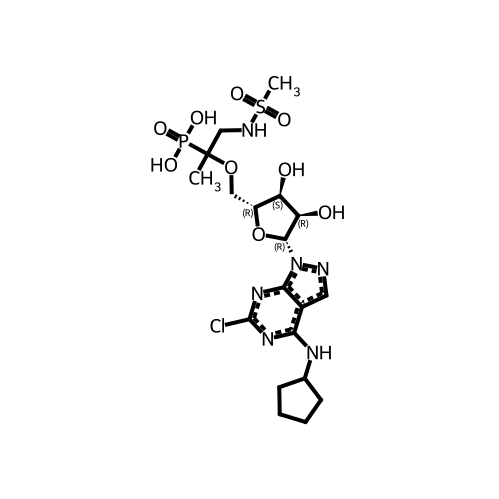 CC(CNS(C)(=O)=O)(OC[C@H]1O[C@@H](n2ncc3c(NC4CCCC4)nc(Cl)nc32)[C@H](O)[C@@H]1O)P(=O)(O)O